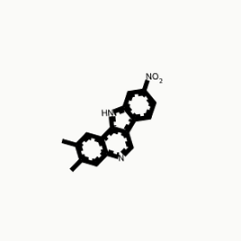 Cc1cc2ncc3c4ccc([N+](=O)[O-])cc4[nH]c3c2cc1C